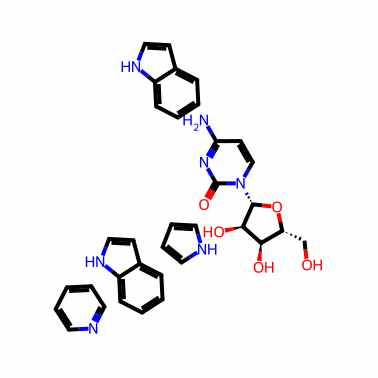 Nc1ccn([C@@H]2O[C@H](CO)[C@@H](O)[C@H]2O)c(=O)n1.c1cc[nH]c1.c1ccc2[nH]ccc2c1.c1ccc2[nH]ccc2c1.c1ccncc1